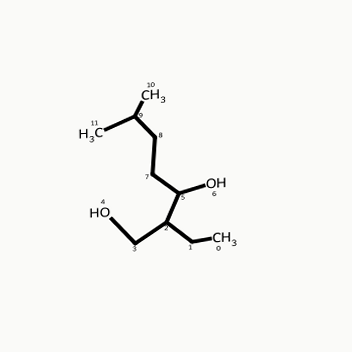 CCC(CO)C(O)CCC(C)C